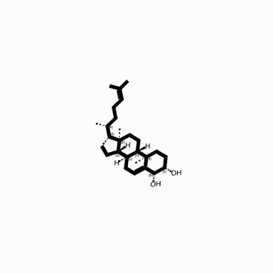 CC(C)=CCC[C@@H](C)[C@H]1CC[C@H]2[C@@H]3CC=C4[C@@H](O)[C@@H](O)CC[C@]4(C)[C@H]3CC[C@]12C